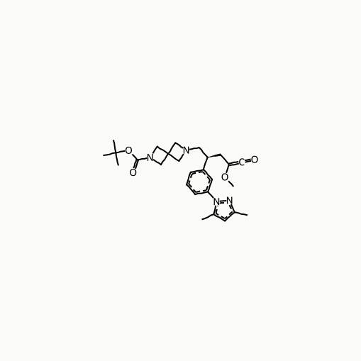 COC(=C=O)C[C@H](CN1CC2(C1)CN(C(=O)OC(C)(C)C)C2)c1cccc(-n2nc(C)cc2C)c1